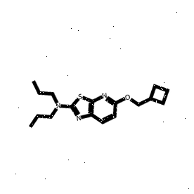 CCCN(CCC)c1nc2ccc(OCC3CCC3)nc2s1